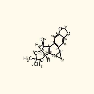 CC1(C)O[C@@H]2C(=O)C3=C([C@@H]2O1)N1CC1c1cc2c(cc13)OCO2